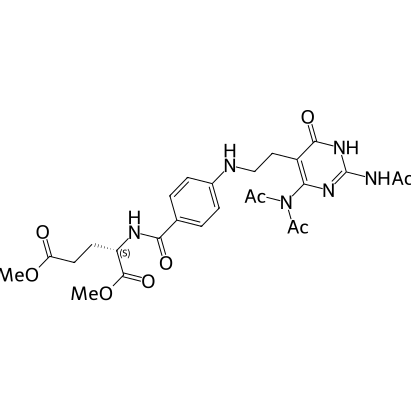 COC(=O)CC[C@H](NC(=O)c1ccc(NCCc2c(N(C(C)=O)C(C)=O)nc(NC(C)=O)[nH]c2=O)cc1)C(=O)OC